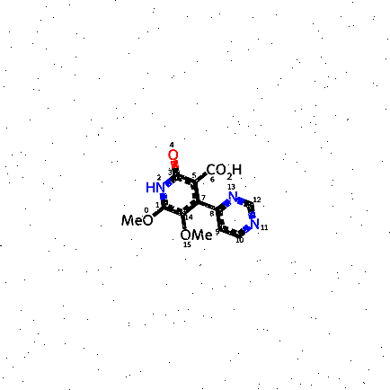 COc1[nH]c(=O)c(C(=O)O)c(-c2ccncn2)c1OC